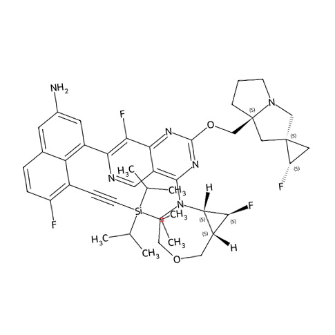 CC(C)[Si](C#Cc1c(F)ccc2cc(N)cc(-c3ncc4c(N5CCOC[C@H]6[C@H](F)[C@H]65)nc(OC[C@@]56CCCN5C[C@@]5(C[C@@H]5F)C6)nc4c3F)c12)(C(C)C)C(C)C